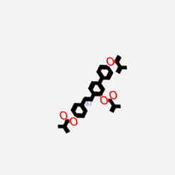 C=C(C)C(=C)Oc1ccc(-c2ccc(/C=C/c3ccc(OC(=O)C(=C)C)cc3)c(OC(=O)C(=C)C)c2)cc1